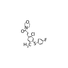 Cc1cc(C=CC(=O)N2CCOCC2)c(Cl)cc1Sc1ccc(F)cc1